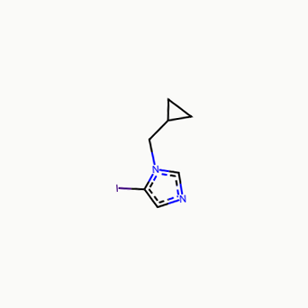 Ic1cncn1CC1CC1